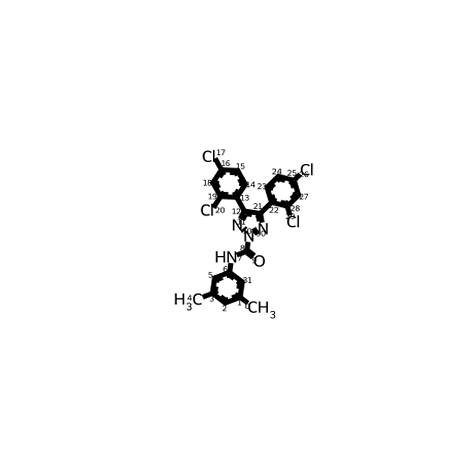 Cc1cc(C)cc(NC(=O)n2nc(-c3ccc(Cl)cc3Cl)c(-c3ccc(Cl)cc3Cl)n2)c1